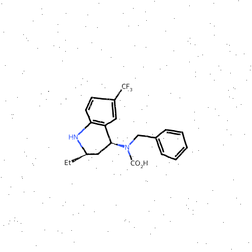 CC[C@@H]1C[C@H](N(Cc2ccccc2)C(=O)O)c2cc(C(F)(F)F)ccc2N1